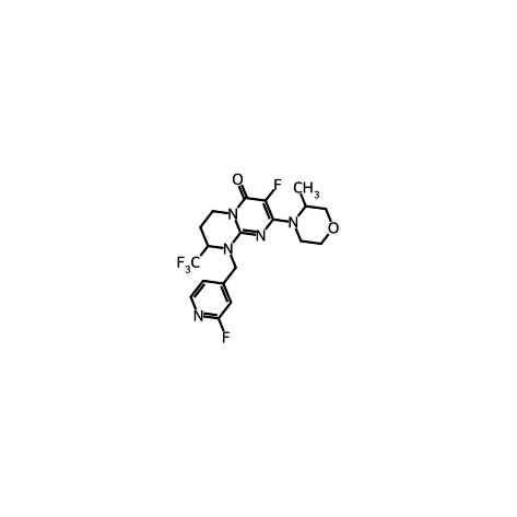 CC1COCCN1c1nc2n(c(=O)c1F)CCC(C(F)(F)F)N2Cc1ccnc(F)c1